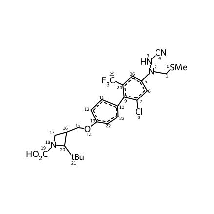 CSCN(NC#N)c1cc(Cl)c(-c2ccc(OCC3CN(C(=O)O)C3C(C)(C)C)cc2)c(C(F)(F)F)c1